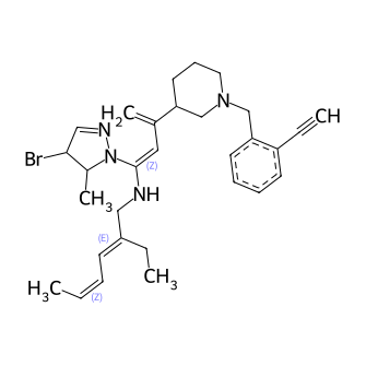 C#Cc1ccccc1CN1CCCC(C(=C)/C=C(/NC/C(=C/C=C\C)CC)N2N=CC(Br)C2C)C1